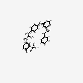 Cc1ccc(NC(=O)Nc2ccc(Oc3cc(NCc4ccccc4)ncn3)cc2)cc1C(F)(F)F